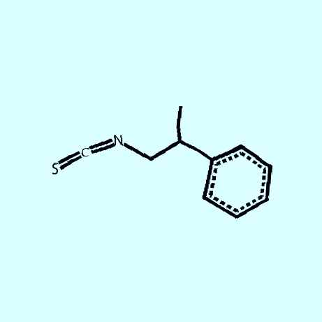 CC(CN=C=S)c1ccccc1